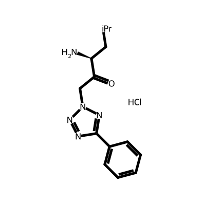 CC(C)C[C@H](N)C(=O)Cn1nnc(-c2ccccc2)n1.Cl